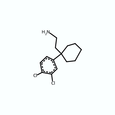 NCCC1(c2ccc(Cl)c(Cl)c2)CCCCC1